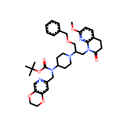 COc1ccc2c(n1)N(CC(COCc1ccccc1)N1CCC(N(Cc3cc4c(cn3)OCCO4)C(=O)OC(C)(C)C)CC1)C(=O)CC2